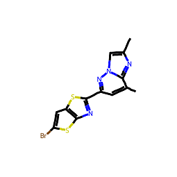 Cc1cn2nc(-c3nc4sc(Br)cc4s3)cc(C)c2n1